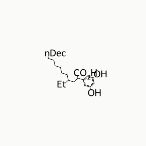 CCCCCCCCCCCCCCCCC(CC)CC(C(=O)O)c1cc(O)cc(O)c1